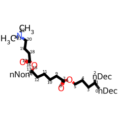 CCCCCCCCCCC(CCCCCCCCCC)CCCOC(=O)CCCCC(CCCCCCCCC)OC(=O)CCCN(C)C